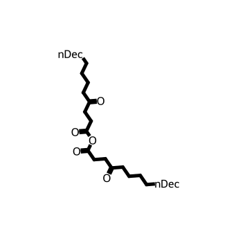 CCCCCCCCCCCCCCC(=O)CCC(=O)OC(=O)CCC(=O)CCCCCCCCCCCCCC